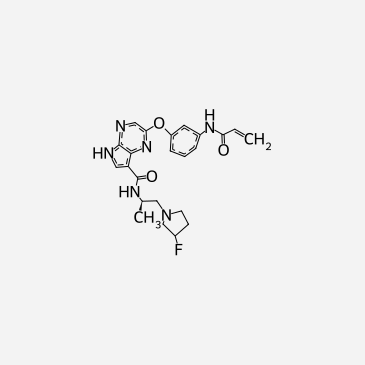 C=CC(=O)Nc1cccc(Oc2cnc3[nH]cc(C(=O)N[C@H](C)CN4CCC(F)C4)c3n2)c1